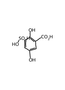 O=C(O)c1cc(O)ccc1O.O=S(=O)(O)O